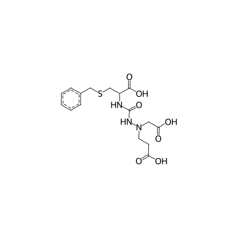 O=C(O)CCN(CC(=O)O)NC(=O)NC(CSCc1ccccc1)C(=O)O